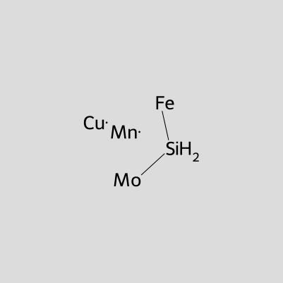 [Cu].[Fe][SiH2][Mo].[Mn]